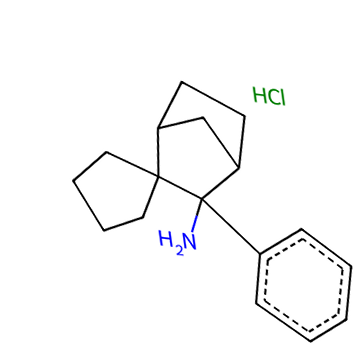 Cl.NC1(c2ccccc2)C2CCC(C2)C12CCCC2